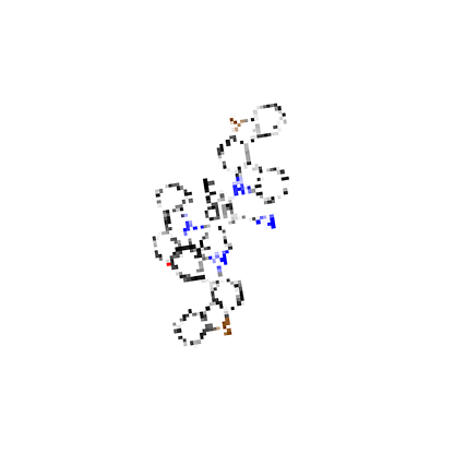 C/C(=C(C#N)\C(=C\n1c2ccccc2c2c3c(ccc21)sc1ccccc13)C(C)(C)n1c2ccccc2c2ccccc21)n1c2ccccc2c2c3c(ccc21)sc1ccccc13